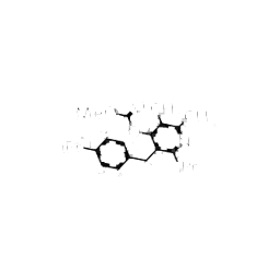 COC(=O)Oc1c(C)c(C)nc(C(C)C)c1Cc1ccc(C(C)C)cc1